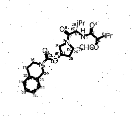 CC(C)C(=O)C(=O)N[C@H](C(=O)N1C[C@H](OC(=O)N2CCc3ccccc3C2)C[C@H]1C=O)C(C)C